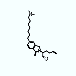 C=CCCC(C=O)N1Cc2cc(CCCCCCCN(C)C)ccc2C1=C